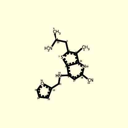 Cc1c(C[C@H](C)N)sc2c(NCc3ccco3)cc(C#N)nc12